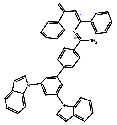 C=C(/C=C(\N=C(/N)c1ccc(-c2cc(-n3ccc4ccccc43)cc(-n3ccc4ccccc43)c2)cc1)c1ccccc1)c1ccccc1